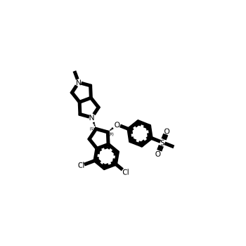 CN1CC2CN([C@H]3Cc4c(Cl)cc(Cl)cc4[C@H]3Oc3ccc(S(C)(=O)=O)cc3)CC2C1